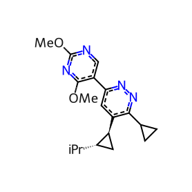 COc1ncc(-c2cc([C@H]3C[C@@H]3C(C)C)c(C3CC3)nn2)c(OC)n1